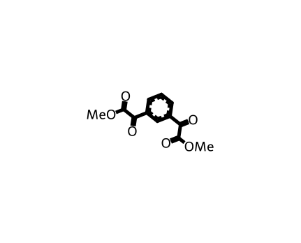 COC(=O)C(=O)c1cccc(C(=O)C(=O)OC)c1